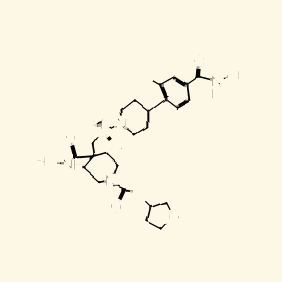 CNC(=O)c1ccc(C2CCN(S(=O)(=O)CC3(C(=O)NO)CCN(C(=O)OC4CCOC4)CC3)CC2)c(C)c1